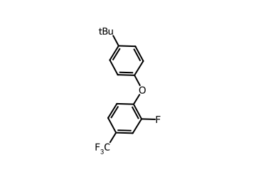 CC(C)(C)c1ccc(Oc2ccc(C(F)(F)F)cc2F)cc1